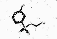 CC(C)(C)COS(=O)(=O)c1cccc(C#N)c1